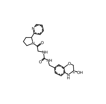 O=C(NCC(=O)N1CCCC1c1ccccn1)NCc1ccc2c(c1)OC[C@@H](O)N2